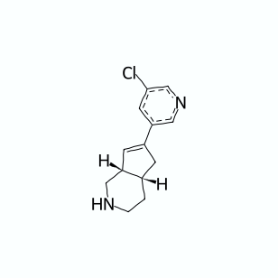 Clc1cncc(C2=C[C@H]3CNCC[C@H]3C2)c1